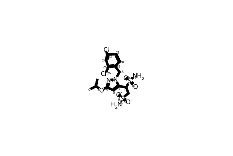 CC(C)Oc1cc(C(CS(N)(=O)=O)S(N)(=O)=O)n(Cc2ccc(Cl)cc2Cl)n1